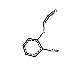 CSc1ccccc1OC=C=O